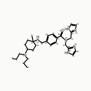 CCCN(CCC)C1CCC(C)(NCc2ccc(C(=O)N(Cc3ncc[nH]3)Cc3ncc[nH]3)cc2)CC1